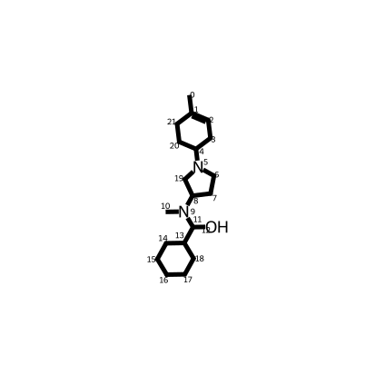 CC1=CCC(N2CCC(N(C)C(O)C3CCCCC3)C2)CC1